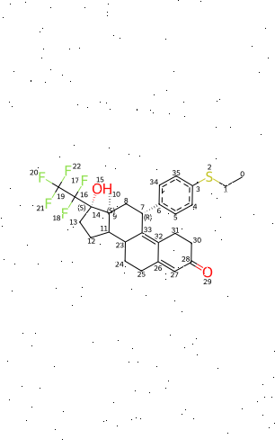 CCSc1ccc([C@H]2C[C@@]3(C)C(CC[C@@]3(O)C(F)(F)C(F)(F)F)C3CCC4=CC(=O)CCC4=C32)cc1